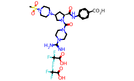 CS(=O)(=O)N1CCN([C@H]2C[C@@H](C(=O)Nc3ccc(C(=O)O)cc3)N(C(=O)N3CCN(C(=N)N)CC3)C2)CC1.O=C(O)C(F)(F)F.O=C(O)C(F)(F)F